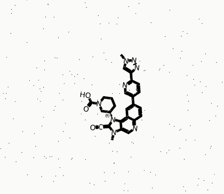 CN1C(=C=O)N([C@@H]2CCCN(C(=O)O)C2)c2c1cnc1ccc(-c3ccc(-c4cn(C)nn4)nc3)cc21